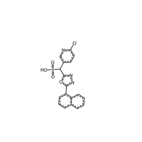 O=S(=O)(O)C(c1ccc(Cl)nc1)c1nnc(-c2cccc3ccccc23)o1